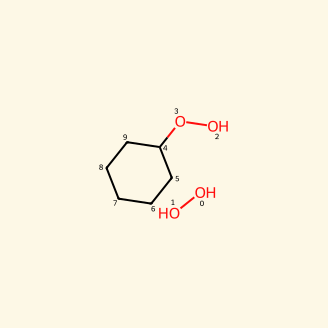 OO.OOC1CCCCC1